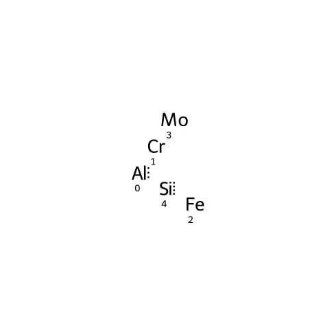 [Al].[Cr].[Fe].[Mo].[Si]